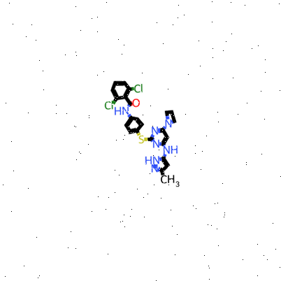 Cc1cc(Nc2cc(N3CCC3)nc(Sc3ccc(NC(=O)c4c(Cl)cccc4Cl)cc3)n2)[nH]n1